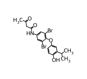 CC(=O)CC(=O)Nc1cc(Br)c(Oc2ccc(O)c(C(C)C)c2)c(Br)c1